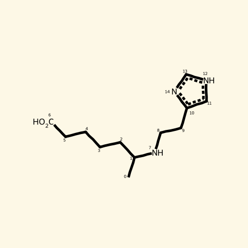 CC(CCCCC(=O)O)NCCc1c[nH]cn1